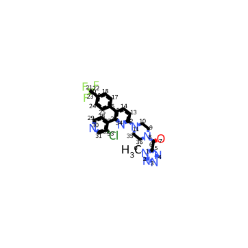 Cn1nnnc1C(=O)N1CCN(c2ccc(-c3ccc(C(F)(F)F)cc3)c(-c3ccncc3Cl)n2)CC1